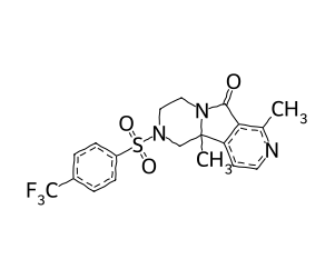 Cc1nccc2c1C(=O)N1CCN(S(=O)(=O)c3ccc(C(F)(F)F)cc3)CC21C